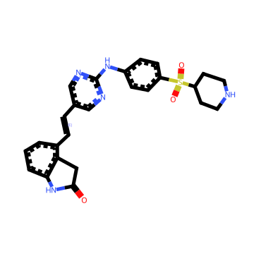 O=C1Cc2c(/C=C/c3cnc(Nc4ccc(S(=O)(=O)C5CCNCC5)cc4)nc3)cccc2N1